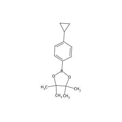 CC1(C)OB(c2ccc(C3CC3)cc2)OC1(C)C